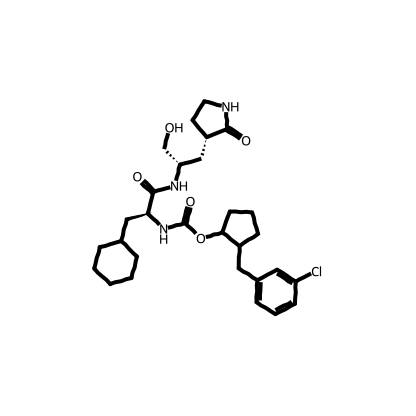 O=C(N[C@@H](CC1CCCCC1)C(=O)N[C@H](CO)C[C@@H]1CCNC1=O)OC1CCCC1Cc1cccc(Cl)c1